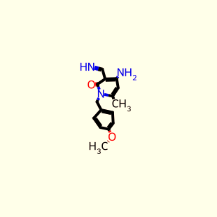 COc1ccc(Cn2c(C)cc(N)c(C=N)c2=O)cc1